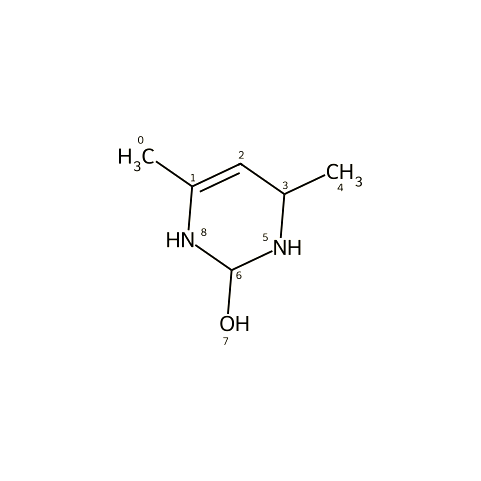 CC1=CC(C)NC(O)N1